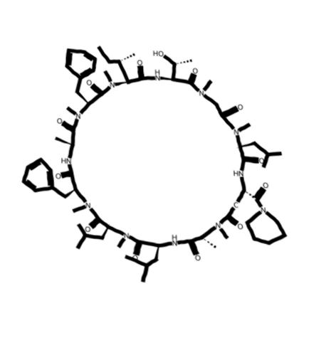 CC[C@H](C)[C@H]1C(=O)N[C@@H]([C@@H](C)O)C(=O)N(C)CC(=O)N(C)[C@@H](CC(C)C)C(=O)N[C@H](C(=O)N2CCCCC2)CC(=O)N(C)[C@H](C)C(=O)N[C@@H](CC(C)C)C(=O)N(C)[C@@H](CC(C)C)C(=O)N(C)[C@@H](Cc2ccccc2)C(=O)N[C@@H](C)C(=O)N(C)[C@@H](Cc2ccccc2)C(=O)N1C